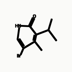 Cc1c(Br)c[nH]c(=O)c1C(C)C